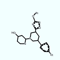 CCc1ccc(C2CC(c3nc(OC(C)C)no3)CN(C3CC(O)CC[N]3)C2)cc1